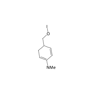 CNC1=CCC(COI)C=C1